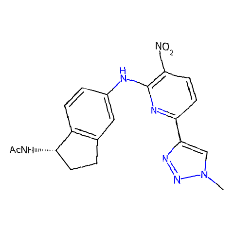 CC(=O)N[C@H]1CCc2cc(Nc3nc(-c4cn(C)nn4)ccc3[N+](=O)[O-])ccc21